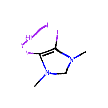 CN1CN(C)C(I)=C1I.I[IH]I